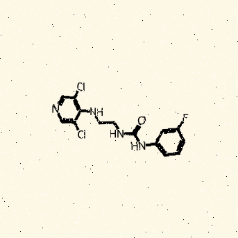 O=C(NCCNc1c(Cl)cncc1Cl)Nc1cccc(F)c1